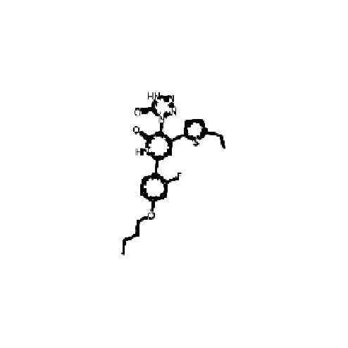 CCCCOc1ccc(-c2cc(-c3ccc(CC)s3)c(-n3nn[nH]c3=O)c(=O)[nH]2)c(F)c1